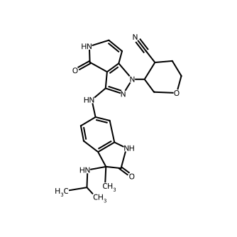 CC(C)NC1(C)C(=O)Nc2cc(Nc3nn(C4COCCC4C#N)c4cc[nH]c(=O)c34)ccc21